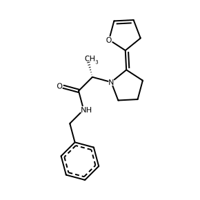 C[C@@H](C(=O)NCc1ccccc1)N1CCCC1=C1CC=CO1